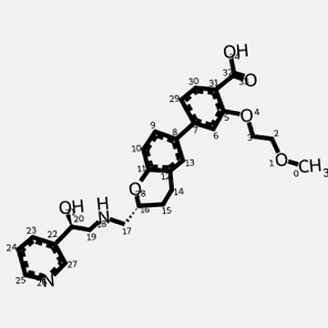 COCCOc1cc(-c2ccc3c(c2)CC[C@H](CNC[C@H](O)c2cccnc2)O3)ccc1C(=O)O